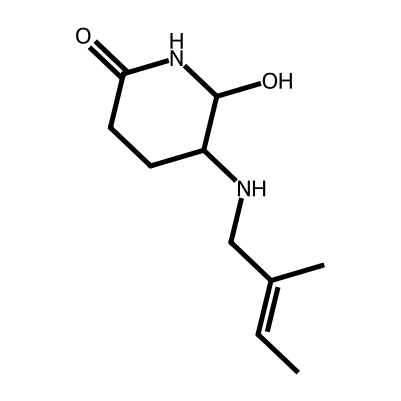 C/C=C(\C)CNC1CCC(=O)NC1O